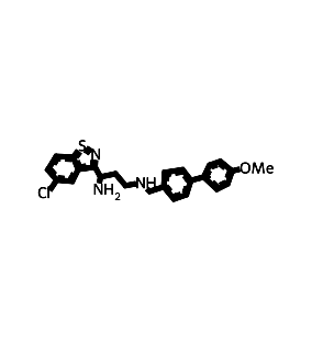 COc1ccc(-c2ccc(CNCCC(N)c3nsc4ccc(Cl)cc34)cc2)cc1